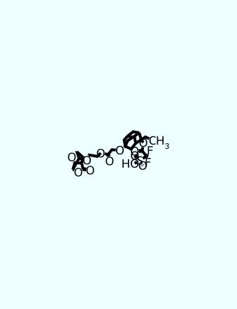 CCC1(OC(=O)C(F)(F)S(=O)(=O)O)C2CC3CC1CC(OCC(=O)OCCOC1C4CC5C(=O)OC1C5O4)(C3)C2